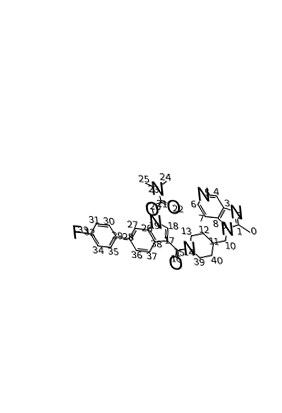 Cc1nc2cnccc2n1CC1CCN(C(=O)c2cn(OC(=O)N(C)C)c3cc(-c4ccc(F)cc4)ccc23)CC1